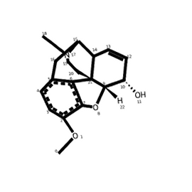 COc1ccc2c3c1O[C@H]1[C@@H](O)C=CC4C(C2)N(C)CC[C@@]341